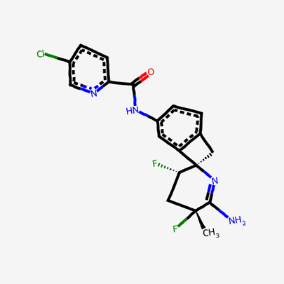 C[C@@]1(F)C[C@H](F)[C@]2(Cc3ccc(NC(=O)c4ccc(Cl)cn4)cc32)N=C1N